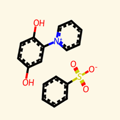 O=S(=O)([O-])c1ccccc1.Oc1ccc(O)c(-[n+]2ccccc2)c1